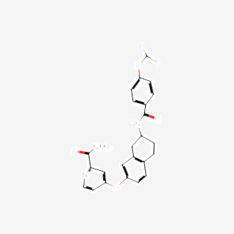 CNC(=O)c1cc(Oc2ccc3c(c2)CC(NC(=O)c2ccc(OC(F)F)cc2)CC3)ccn1